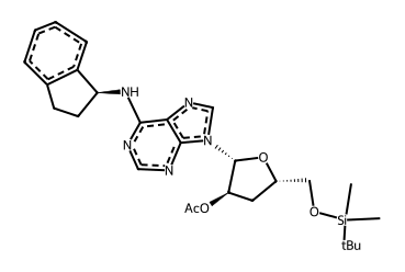 CC(=O)O[C@@H]1C[C@@H](CO[Si](C)(C)C(C)(C)C)O[C@H]1n1cnc2c(N[C@H]3CCc4ccccc43)ncnc21